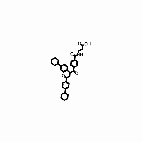 O=C(O)CCNC(=O)c1ccc(C(=O)C(=CC(=O)c2ccc(C3CCCCC3)cc2)c2ccc(C3CCCCC3)cc2)cc1